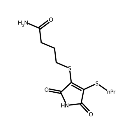 CCCSC1=C(SCCCC(N)=O)C(=O)NC1=O